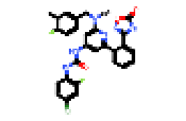 CCCN(CC1=CC(C)C(F)C=C1)c1cc(NC(=O)Nc2ccc(Cl)cc2F)cc(-c2ccccc2-c2noc(=O)[nH]2)n1